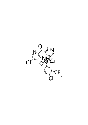 Cc1ncc(Cl)cc1C(=O)c1ncc(Cl)cc1NS(=O)(=O)c1ccc(Cl)c(C(F)(F)F)c1